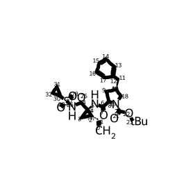 C=C[C@@H]1C[C@]1(NC(=O)C1C[C@@H](Cc2ccccc2)CN1C(=O)OC(C)(C)C)C(=O)NS(=O)(=O)C1CC1